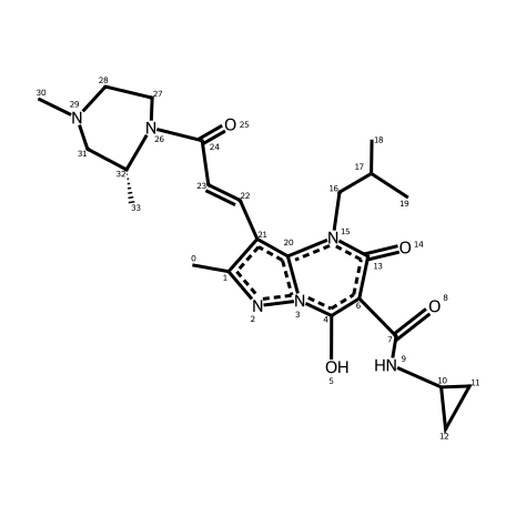 Cc1nn2c(O)c(C(=O)NC3CC3)c(=O)n(CC(C)C)c2c1/C=C/C(=O)N1CCN(C)C[C@H]1C